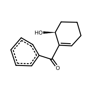 O=C(C1=CCCC[C@@H]1O)c1ccccc1